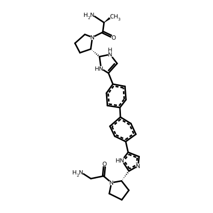 C[C@H](N)C(=O)N1CCC[C@H]1C1NC=C(c2ccc(-c3ccc(-c4cnc([C@@H]5CCCN5C(=O)CN)[nH]4)cc3)cc2)N1